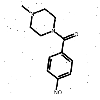 CN1CCN(C(=O)c2ccc(N=O)cc2)CC1